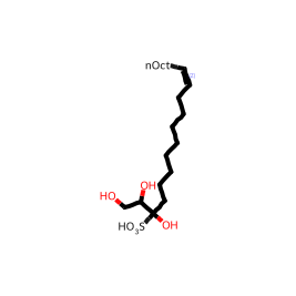 CCCCCCCC/C=C\CCCCCCCCC(O)(C(O)CO)S(=O)(=O)O